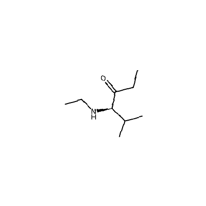 CCN[C@@H](C(=O)CC)C(C)C